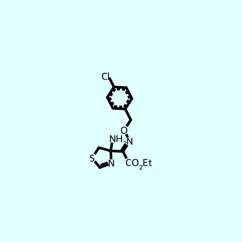 CCOC(=O)C(=NOCc1ccc(Cl)cc1)C1(N)CSC=N1